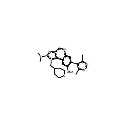 COc1cc2c(cc1-c1c(C)noc1C)ncc1nc(N(C)C)n(CC3CCOCC3)c12